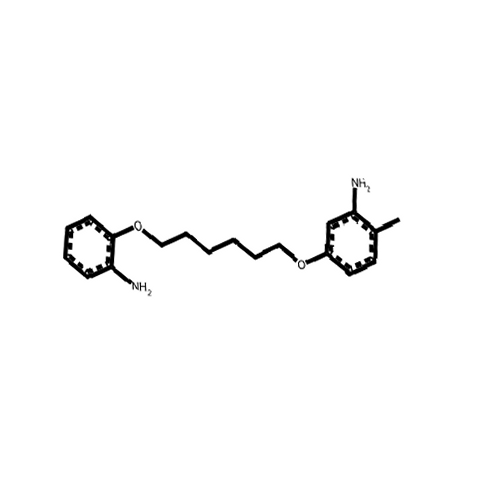 Cc1ccc(OCCCCCCOc2ccccc2N)cc1N